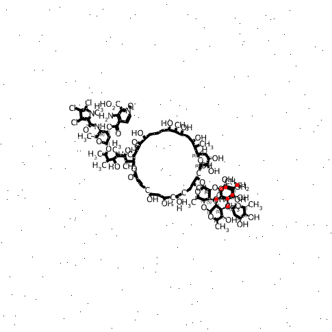 CC1CCC(O)CC(O)CC(O)CC=CC(=O)OC(C(C)C(O)C(C)C(O)C(C)C(C)O[C@H]2C[C@@H](OC(=O)c3cc[n+]([O-])c(C(=O)O)c3N)[C@H](NC(=O)c3c(Cl)c(Cl)c(Cl)n3C)[C@@H](C)O2)C(C)C2OC2C(O)CCCC(O)C(C)C(O)CC(O)C(C)[C@H]2C[C@H](O)[C@@H](O)[C@@](O)(CC1O[C@@H]1O[C@H](C)[C@@H](O[C@@H]3O[C@H](C)[C@@H](O)[C@H](O[C@H]4C[C@@H](O)[C@H](O)[C@@H](C)O4)[C@H]3O)[C@H](O[C@H]3C[C@@H](O)[C@H](N)[C@@H](C)O3)[C@H]1O[C@@H]1O[C@H](C)[C@@H](O)[C@H](O)[C@H]1O)O2